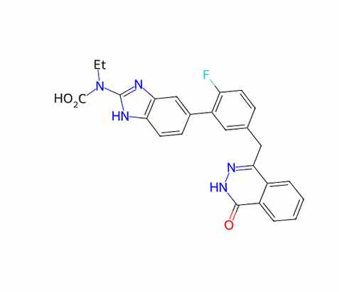 CCN(C(=O)O)c1nc2cc(-c3cc(Cc4n[nH]c(=O)c5ccccc45)ccc3F)ccc2[nH]1